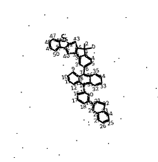 CC1(C)c2ccc(-c3c4ccccc4c(-c4cccc(-c5ccc6ccccc6c5)c4)c4ccccc34)cc2-c2cc3c(cc21)sc1ccccc13